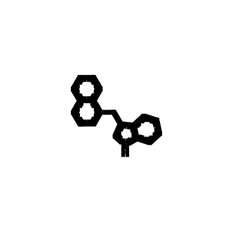 c1ccc2c(Cc3c[nH]c4ccccc34)cccc2c1